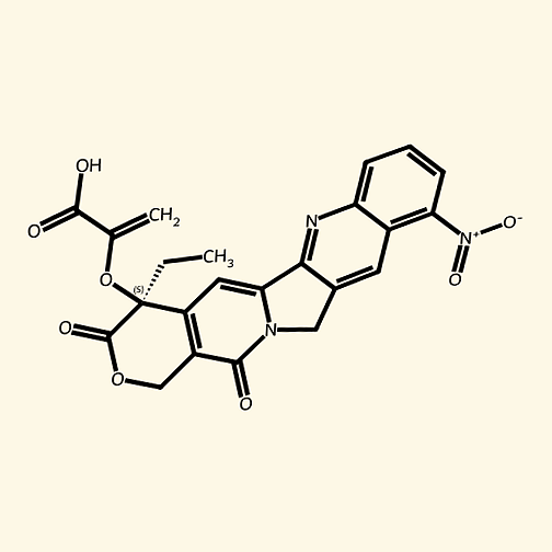 C=C(O[C@]1(CC)C(=O)OCc2c1cc1n(c2=O)Cc2cc3c([N+](=O)[O-])cccc3nc2-1)C(=O)O